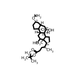 C[C@H](CCC(=O)OC(C)(C)C)[C@H]1CCC2[C@@H]3[C@H](O)C[C@@H]4C[C@@H](ON)CC[C@]4(C)[C@H]3CC(O)[C@@]21C